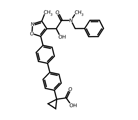 Cc1noc(-c2ccc(-c3ccc(C4(C(=O)O)CC4)cc3)cc2)c1C(O)C(=O)N(C)Cc1ccccc1